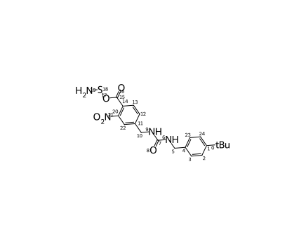 CC(C)(C)c1ccc(CNC(=O)NCc2ccc(C(=O)OSN)c([N+](=O)[O-])c2)cc1